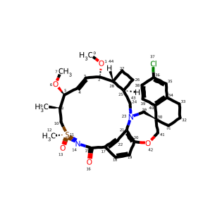 CO[C@H]1/C=C/[C@H](OC)[C@H](C)C[S@](C)(=O)=NC(=O)c2ccc3c(c2)N(C[C@@H]2CC[C@H]21)C[C@@]1(CCCc2cc(Cl)ccc21)CO3